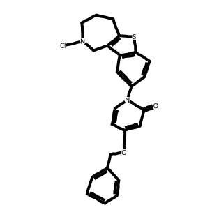 O=c1cc(OCc2ccccc2)ccn1-c1ccc2sc3c(c2c1)CN(Cl)CCC3